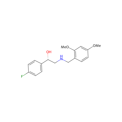 COc1ccc(CNC[C@@H](O)c2ccc(F)cc2)c(OC)c1